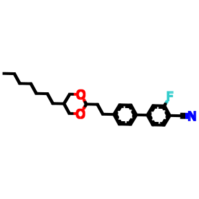 CCCCCCCC1COC(CCc2ccc(-c3ccc(C#N)c(F)c3)cc2)OC1